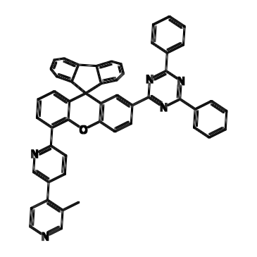 Cc1cnccc1-c1ccc(-c2cccc3c2Oc2ccc(-c4nc(-c5ccccc5)nc(-c5ccccc5)n4)cc2C32c3ccccc3-c3ccccc32)nc1